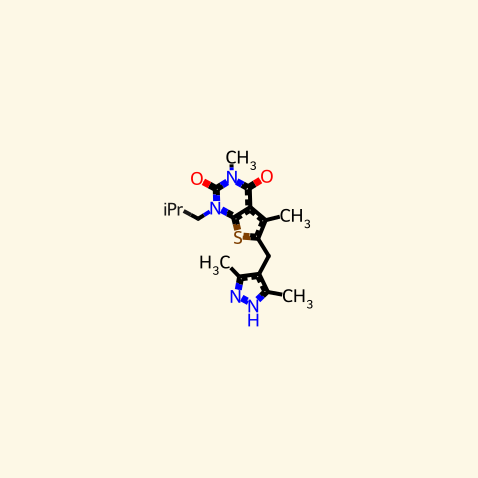 Cc1n[nH]c(C)c1Cc1sc2c(c1C)c(=O)n(C)c(=O)n2CC(C)C